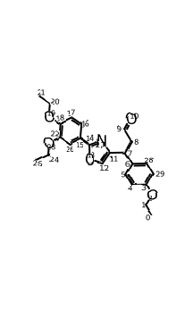 CCOc1ccc(C(CC=O)c2coc(-c3ccc(OCC)c(OCC)c3)n2)cc1